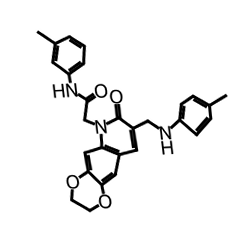 Cc1ccc(NCc2cc3cc4c(cc3n(CC(=O)Nc3cccc(C)c3)c2=O)OCCO4)cc1